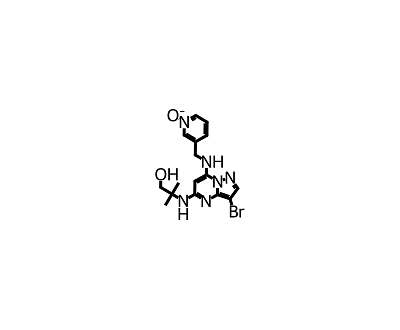 CC(C)(CO)Nc1cc(NCc2ccc[n+]([O-])c2)n2ncc(Br)c2n1